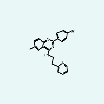 Cc1ccc2nc(-c3ccc(Br)cc3)nc(NCCc3ccccn3)c2c1